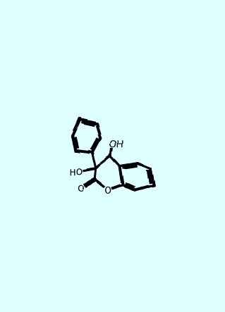 O=C1Oc2ccccc2C(O)C1(O)c1ccccc1